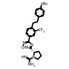 CCCCc1ccc(CCc2ccc(C(=N/OC)/N=C/[C@@H]3CCCN3C(=N)N)cc2C(F)(F)F)cc1